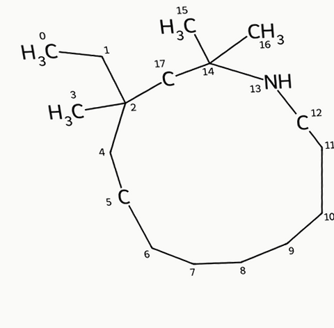 CCC1(C)CCCCCCCCCNC(C)(C)C1